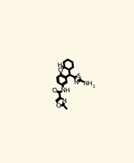 Cc1nc(C(=O)Nc2ccc3c(c2)C(C2N=C(N)S2)C2CCCC[C@H]2O3)co1